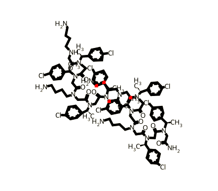 C[C@H](c1ccc(Cl)cc1)N(CC(N)=O)C(=O)CN(C(=O)CN(CCCCN)C(=O)CN(C(=O)CN(C(=O)CN(CCCCN)C(=O)CN(C(=O)CN(C(=O)CN(CCCCN)C(=O)CN(C(=O)CN(C(=O)CNCCCCN)[C@H](C)c1ccc(Cl)cc1)[C@H](C)c1ccc(Cl)cc1)[C@H](C)c1ccc(Cl)cc1)[C@H](C)c1ccc(Cl)cc1)[C@H](C)c1ccc(Cl)cc1)[C@H](C)c1ccc(Cl)cc1)[C@H](C)c1ccc(Cl)cc1